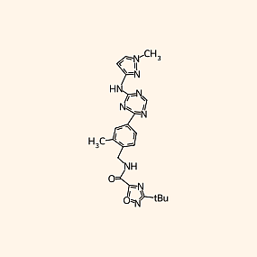 Cc1cc(-c2ncnc(Nc3ccn(C)n3)n2)ccc1CNC(=O)c1nc(C(C)(C)C)no1